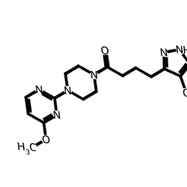 COc1ccnc(N2CCN(C(=O)CCCc3n[nH]cc3Cl)CC2)n1